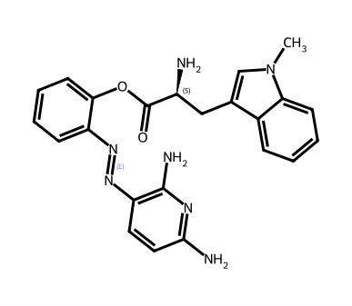 Cn1cc(C[C@H](N)C(=O)Oc2ccccc2/N=N/c2ccc(N)nc2N)c2ccccc21